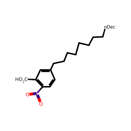 CCCCCCCCCCCCCCCCCCc1ccc(I(=O)=O)c(C(=O)O)c1